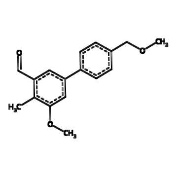 COCc1ccc(-c2cc(C=O)c(C)c(OC)c2)cc1